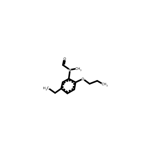 CCCOc1ccc(CC)cc1N(C)C=O